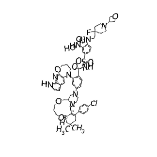 CC1(C)CC(c2ccc(Cl)cc2)=C2CN3CCN(c4ccc(C(=O)NS(=O)(=O)c5ccc(NCC6(F)CCN(C7COC7)CC6)c([NH+]([O-])O)c5)c(N5CCCOc6nc7[nH]ccc7cc65)c4)CC3COCCCO[C@@H]2C1